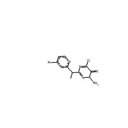 CC(C)c1ccnc(C(C)C2=NC(N)C(=S)C(Cl)=N2)c1